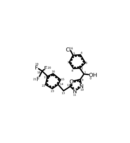 OC(c1ccc(Cl)cc1)c1nnc(Cc2ccc(C(F)(F)F)cc2)o1